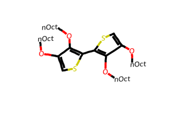 CCCCCCCCOc1csc(-c2scc(OCCCCCCCC)c2OCCCCCCCC)c1OCCCCCCCC